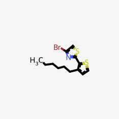 CCCCCCc1ccsc1-c1nc(Br)cs1